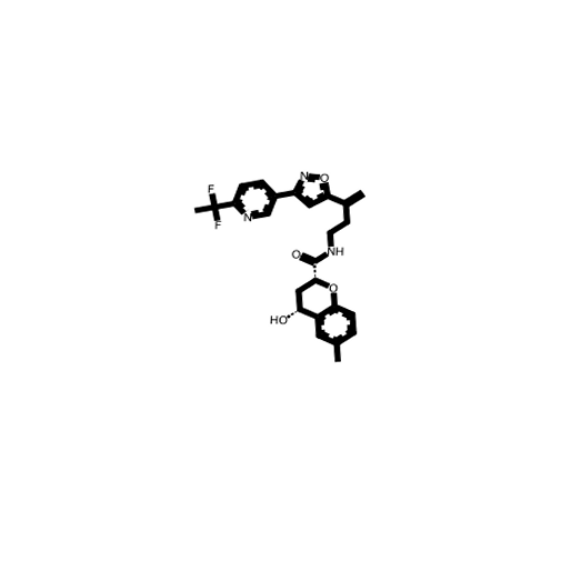 C=C(CCNC(=O)[C@H]1C[C@@H](O)c2cc(C)ccc2O1)c1cc(-c2ccc(C(C)(F)F)nc2)no1